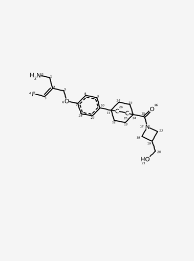 NCC(=CF)COc1ccc(C23CCC(C(=O)N4CC(CO)C4)(CC2)CC3)cc1